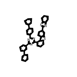 c1ccc(-c2ccc(-c3nc(-c4cccc(-c5ccccc5)c4)nc(-c4cccc5sc6cc(-c7nc8ccccc8s7)ccc6c45)n3)cc2)cc1